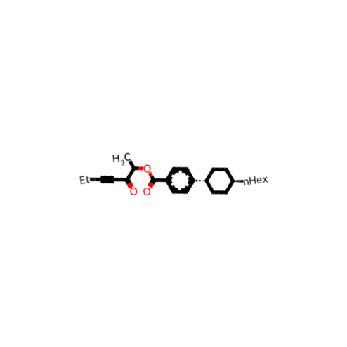 CCC#CC(=O)C(C)OC(=O)c1ccc([C@H]2CC[C@H](CCCCCC)CC2)cc1